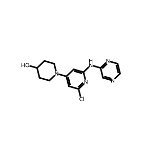 OC1CCN(c2cc(Cl)nc(Nc3cnccn3)c2)CC1